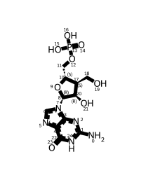 Nc1nc2c(ncn2[C@@H]2O[C@H](COP(=O)(O)O)[C@@H](CO)[C@H]2O)c(=O)[nH]1